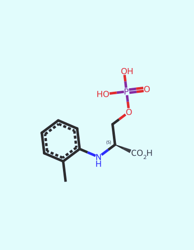 Cc1ccccc1N[C@@H](COP(=O)(O)O)C(=O)O